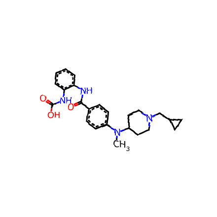 CN(c1ccc(C(=O)Nc2ccccc2NC(=O)O)cc1)C1CCN(CC2CC2)CC1